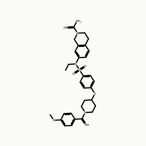 CCN(c1ccc2c(c1)CN(C(=N)N)CC2)S(=O)(=O)c1ccc(OC2CCN(C(=N)c3ccc(OC)cc3)CC2)cc1